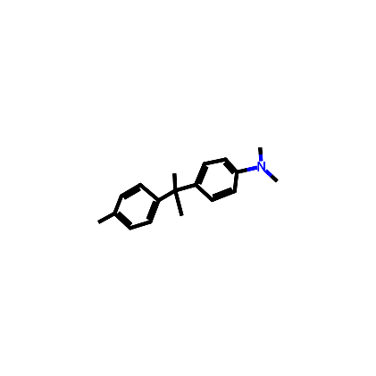 Cc1ccc(C(C)(C)c2ccc(N(C)C)cc2)cc1